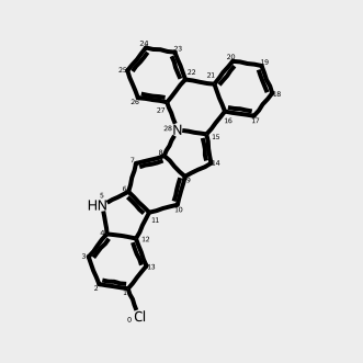 Clc1ccc2[nH]c3cc4c(cc3c2c1)cc1c2ccccc2c2ccccc2n41